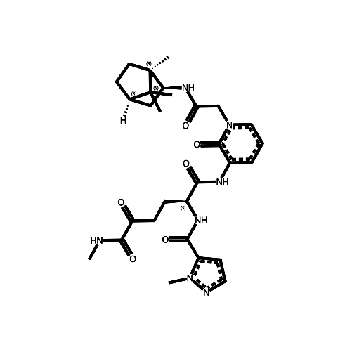 CNC(=O)C(=O)CC[C@H](NC(=O)c1ccnn1C)C(=O)Nc1cccn(CC(=O)N[C@H]2C[C@H]3CC[C@]2(C)C3(C)C)c1=O